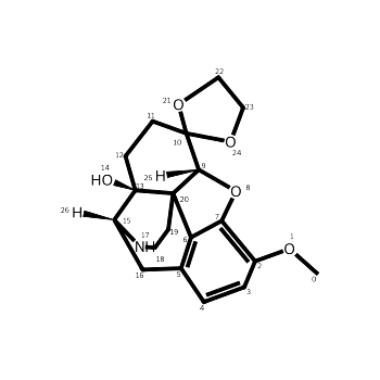 COc1ccc2c3c1O[C@H]1C4(CC[C@@]5(O)[C@@H](C2)NCCC315)OCCO4